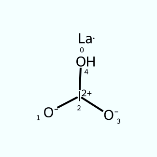 [La].[O-][I+2]([O-])O